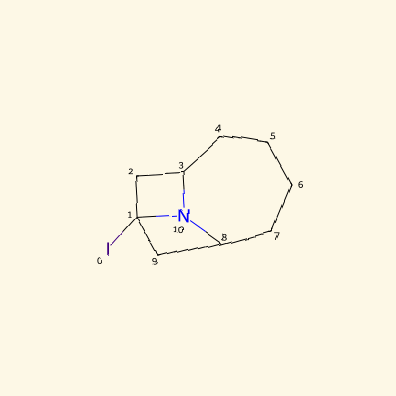 IC12CC3CCCCC(C1)N32